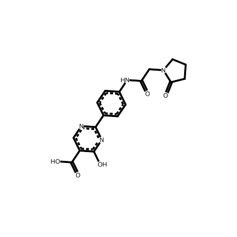 O=C(CN1CCCC1=O)Nc1ccc(-c2ncc(C(=O)O)c(O)n2)cc1